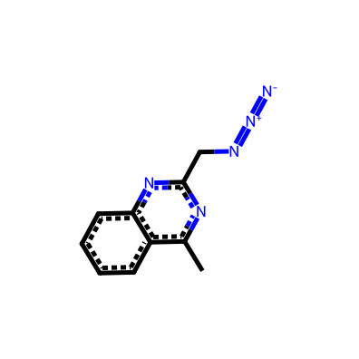 Cc1nc(CN=[N+]=[N-])nc2ccccc12